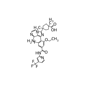 CCOc1cc(C(=O)Nc2cc(C(F)(F)F)ccn2)cc(F)c1-c1nc(C2(C)CCC(C)(C(=O)O)CC2)n2ccnc(N)c12